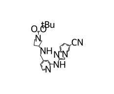 CC(C)(C)OC(=O)N1CC[C@H](NCc2ccnc(Nc3cn4cc(C#N)ccc4n3)c2)C1